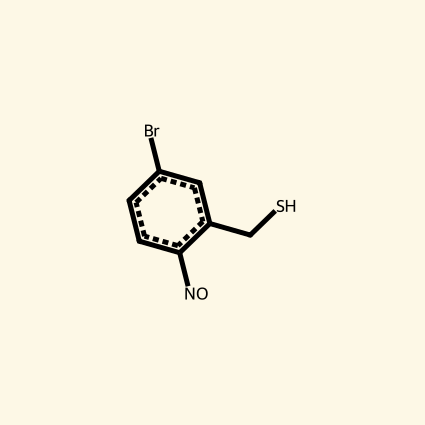 O=Nc1ccc(Br)cc1CS